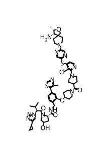 Cc1ncsc1-c1ccc(CNC(=O)[C@@H]2C[C@@H](O)CN2C(=O)[C@H](C(C)C)n2cc(C3CC3)nn2)c(OC2CCN(C(=O)C3CCN(c4nccc(Sc5cnc(N6CCC7(CC6)CO[C@@H](C)[C@H]7N)cn5)c4Cl)CC3)CC2)c1